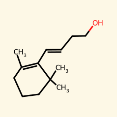 CC1=C(C=CCCO)C(C)(C)CCC1